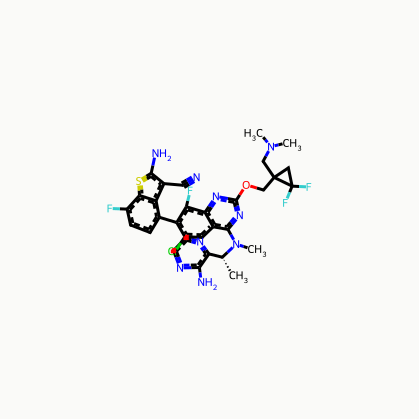 C[C@H](c1nccnc1N)N(C)c1nc(OCC2(CN(C)C)CC2(F)F)nc2c(F)c(-c3ccc(F)c4sc(N)c(C#N)c34)c(Cl)cc12